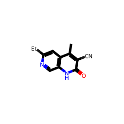 CCc1cc2c(C)c(C#N)c(=O)[nH]c2cn1